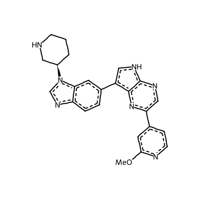 COc1cc(-c2cnc3[nH]cc(-c4ccc5ncn([C@@H]6CCCNC6)c5c4)c3n2)ccn1